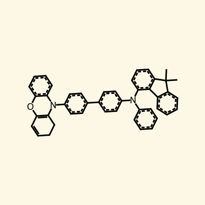 CC1(C)c2ccccc2-c2c(N(c3ccccc3)c3ccc(-c4ccc(N5C6=C(C=CCC6)Oc6ccccc65)cc4)cc3)cccc21